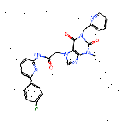 Cn1c(=O)n(Cc2ccccn2)c(=O)c2c1ncn2CC(=O)Nc1cccc(-c2ccc(Cl)cc2)n1